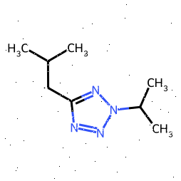 CC(C)[CH]c1nnn(C(C)C)n1